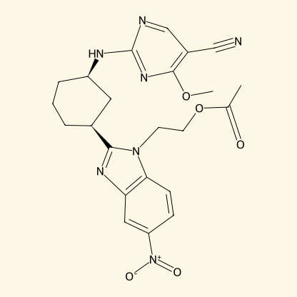 COc1nc(N[C@@H]2CCC[C@H](c3nc4cc([N+](=O)[O-])ccc4n3CCOC(C)=O)C2)ncc1C#N